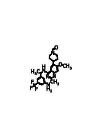 COc1cc2nc(C)nc(NC(C)c3cc(N)cc(C(F)(F)F)c3)c2cc1C1CCN(C=O)CC1